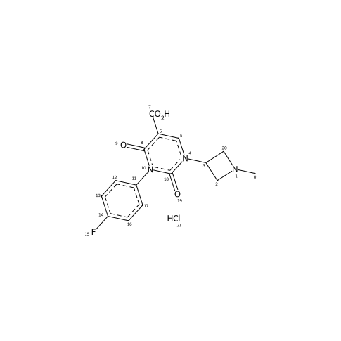 CN1CC(n2cc(C(=O)O)c(=O)n(-c3ccc(F)cc3)c2=O)C1.Cl